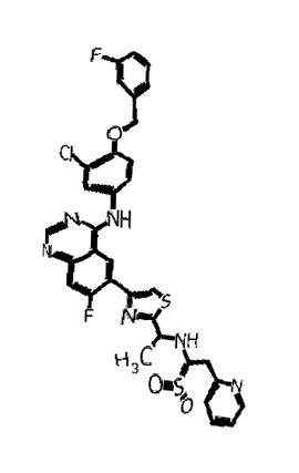 CC(NC(Cc1ccccn1)=S(=O)=O)c1nc(-c2cc3c(Nc4ccc(OCc5cccc(F)c5)c(Cl)c4)ncnc3cc2F)cs1